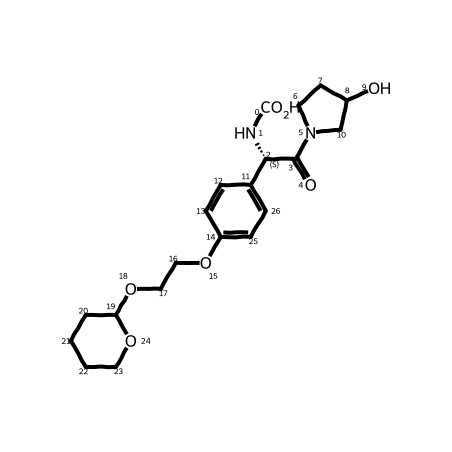 O=C(O)N[C@H](C(=O)N1CCC(O)C1)c1ccc(OCCOC2CCCCO2)cc1